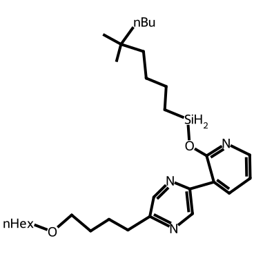 CCCCCCOCCCCc1cnc(-c2cccnc2O[SiH2]CCCCC(C)(C)CCCC)cn1